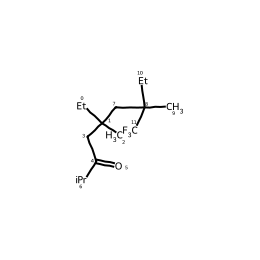 CCC(C)(CC(=O)C(C)C)CC(C)(CC)C(F)(F)F